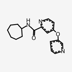 O=C(NC1CCCCCC1)c1cc(Oc2cccnc2)ccn1